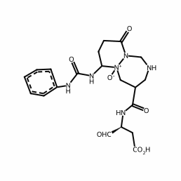 O=C[C@H](CC(=O)O)NC(=O)C1CNCN2C(=O)CCC(NC(=O)Nc3ccccc3)[N+]2([O-])C1